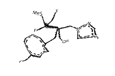 CSC(F)(F)C(O)(Cn1cncn1)c1ccc(F)cc1